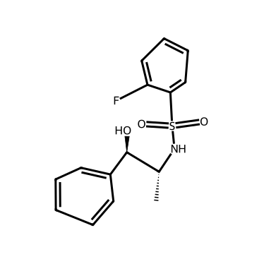 C[C@@H](NS(=O)(=O)c1ccccc1F)[C@H](O)c1ccccc1